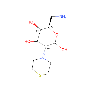 NC[C@H]1OC(O)[C@H](N2CCSCC2)C(O)[C@H]1O